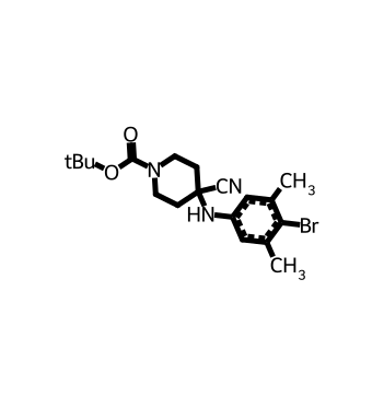 Cc1cc(NC2(C#N)CCN(C(=O)OC(C)(C)C)CC2)cc(C)c1Br